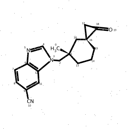 C[C@]1(Cn2cnc3ccc(C#N)cc32)CCC[C@]2(CC2=O)C1